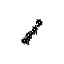 O=C(Nc1ccc(OCc2ccccn2)cc1)Nc1ncnc2c1cnn2-c1ccccc1Cl